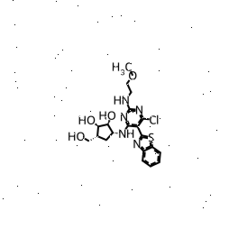 COCCNc1nc(Cl)c(-c2nc3ccccc3s2)c(N[C@@H]2C[C@H](CO)[C@@H](O)[C@H]2O)n1